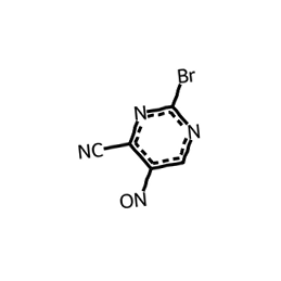 N#Cc1nc(Br)ncc1N=O